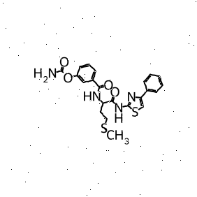 CSCCC(NC(=O)c1cccc(OC(N)=O)c1)C(=O)Nc1nc(-c2ccccc2)cs1